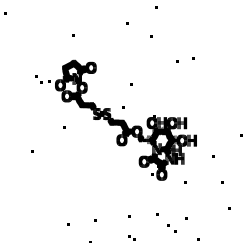 O=C(CCSSCCC(=O)ON1C(=O)CCC1=O)OC[C@@H]1[C@@H](O)[C@H](O)[C@H](O)[C@H]2NC(=O)C(=O)N12